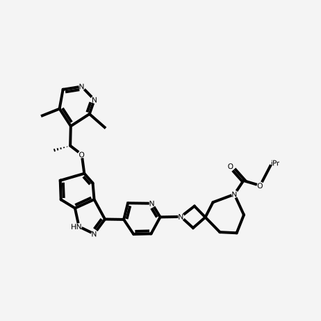 Cc1cnnc(C)c1[C@@H](C)Oc1ccc2[nH]nc(-c3ccc(N4CC5(CCCN(C(=O)OC(C)C)C5)C4)nc3)c2c1